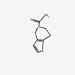 NC(=O)N1CCc2sccc2C1